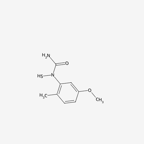 COc1ccc(C)c(N(S)C(N)=O)c1